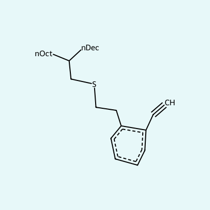 C#Cc1ccccc1CCSCC(CCCCCCCC)CCCCCCCCCC